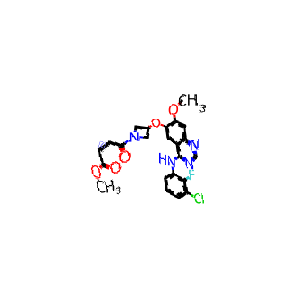 COC(=O)/C=C\C(=O)N1CC(Oc2cc3c(Nc4cccc(Cl)c4F)ncnc3cc2OC)C1